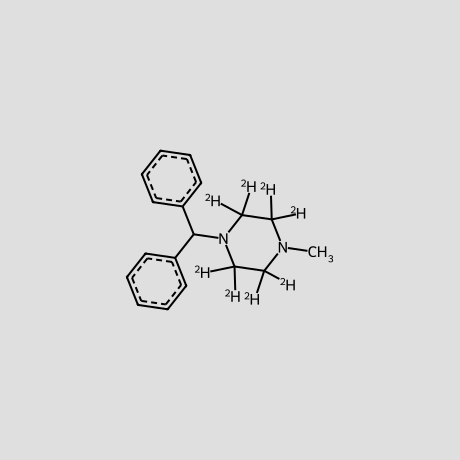 [2H]C1([2H])N(C)C([2H])([2H])C([2H])([2H])N(C(c2ccccc2)c2ccccc2)C1([2H])[2H]